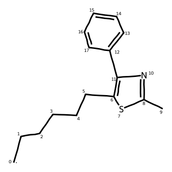 [CH2]CCCCCc1sc(C)nc1-c1ccccc1